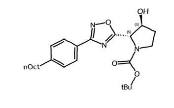 CCCCCCCCc1ccc(-c2noc([C@@H]3[C@@H](O)CCN3C(=O)OC(C)(C)C)n2)cc1